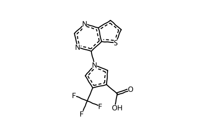 O=C(O)c1cn(-c2ncnc3ccsc23)cc1C(F)(F)F